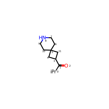 CC(C)C(=O)C1CC2(CCNCC2)C1